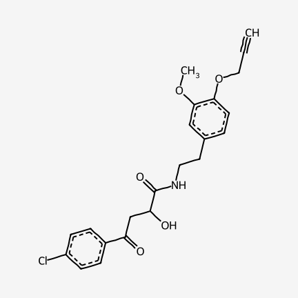 C#CCOc1ccc(CCNC(=O)C(O)CC(=O)c2ccc(Cl)cc2)cc1OC